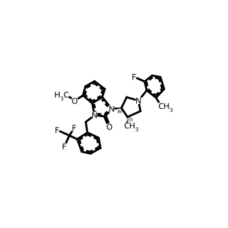 COc1cccc2c1n(Cc1ccccc1C(F)(F)F)c(=O)n2[C@H]1CN(c2c(C)cccc2F)C[C@@H]1C